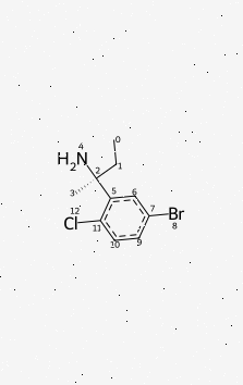 CC[C@](C)(N)c1cc(Br)ccc1Cl